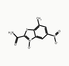 Cc1cc([N+](=O)[O-])cc2c1sc(C(N)=O)[n+]2[O-]